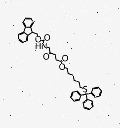 O=C(CCC(=O)OCCCCCCSC(c1ccccc1)(c1ccccc1)c1ccccc1)CNC(=O)OCC1c2ccccc2-c2ccccc21